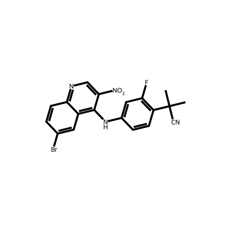 CC(C)(C#N)c1ccc(Nc2c([N+](=O)[O-])cnc3ccc(Br)cc23)cc1F